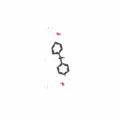 COC(=O)Oc1ccc(C(C)(C)c2ccc(OC(=O)OC(C)(C)C)cc2)cc1